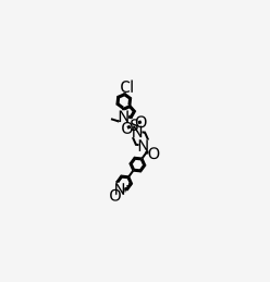 CCn1c(S(=O)(=O)N2CCN(C(=O)c3ccc(-c4cc[n+]([O-])cc4)cc3)CC2)cc2cc(Cl)ccc21